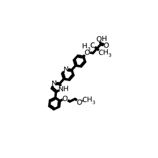 COCCOc1ccccc1-c1cnc(-c2ccc(-c3ccc(OCC(C)(C)C(=O)O)cc3)nc2)[nH]1